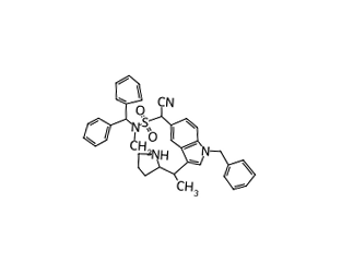 CC(c1cn(Cc2ccccc2)c2ccc(C(C#N)S(=O)(=O)N(C)C(c3ccccc3)c3ccccc3)cc12)C1CCCN1